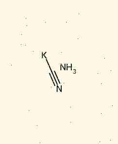 N.N#[C][K]